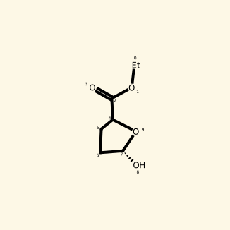 CCOC(=O)C1CC[C@@H](O)O1